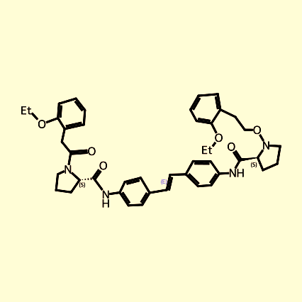 CCOc1ccccc1CCON1CCC[C@H]1C(=O)Nc1ccc(/C=C/c2ccc(NC(=O)[C@@H]3CCCN3C(=O)Cc3ccccc3OCC)cc2)cc1